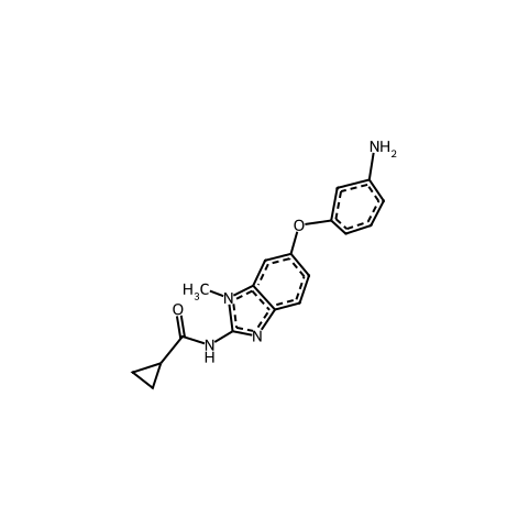 Cn1c(NC(=O)C2CC2)nc2ccc(Oc3cccc(N)c3)cc21